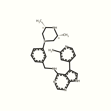 C[C@@H]1CN(c2cccc(CNc3ncnc4[nH]cc(-c5ccnc(N)c5)c34)c2)C[C@H](C)N1